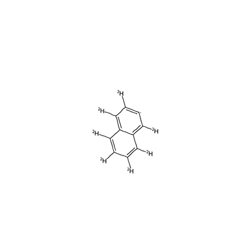 [2H]c1[c]c([2H])c2c([2H])c([2H])c([2H])c([2H])c2c1[2H]